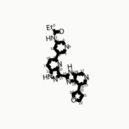 CCC(=O)Nc1cncc(-c2ccc3[nH]nc(-c4nc5c(-c6ccoc6)cncc5[nH]4)c3n2)c1